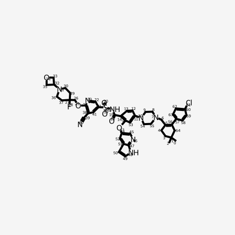 CC1(C)CCC(CN2CCN(c3ccc(C(=O)NS(=O)(=O)c4cnc(OCC5(F)CCN(C6COC6)CC5)c(C#N)c4)c(Oc4cnc5[nH]ccc5c4)c3)CC2)=C(c2ccc(Cl)cc2)C1